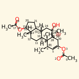 CC(=O)OC1=C[C@@H](C)[C@]2(C)[C@H]3CC[C@]4(C)[C@@H](OC(C)=O)CC[C@H]4[C@@H]3C[C@@](C)(O)[C@@]2(Br)C1